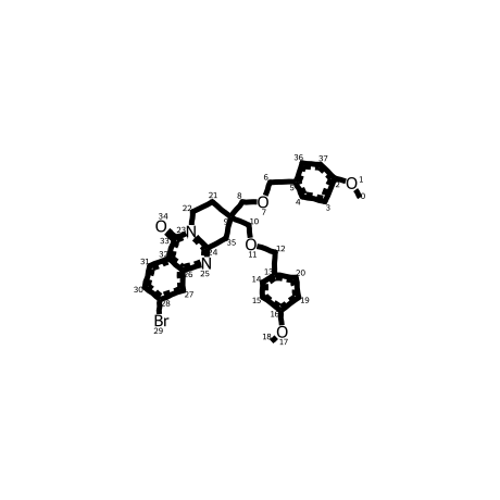 COc1ccc(COCC2(COCc3ccc(OC)cc3)CCn3c(nc4cc(Br)ccc4c3=O)C2)cc1